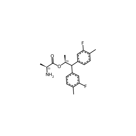 Cc1ccc(C(c2ccc(C)c(F)c2)[C@H](C)OC(=O)[C@H](C)N)cc1F